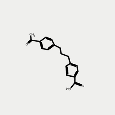 CC(=O)c1ccc(CCCc2ccc(C(=O)O)cc2)cc1